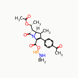 BNPOC(=O)C1=C(c2ccc(C(C)=O)cc2)[C@H](C)[C@@H]2[C@@H]([C@@H](C)OC(C)=O)C(=O)N12